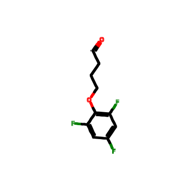 O=[C]CCCOc1c(F)cc(F)cc1F